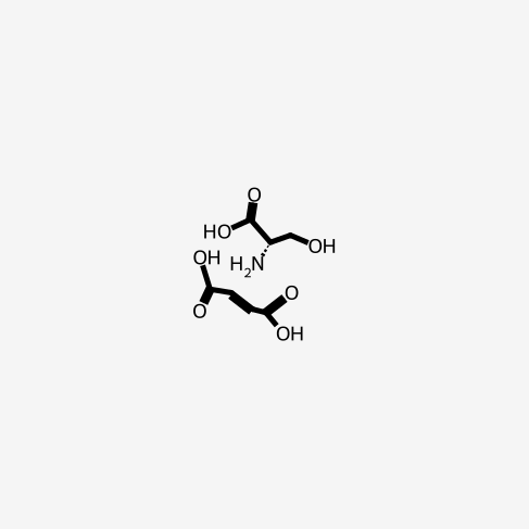 N[C@@H](CO)C(=O)O.O=C(O)/C=C/C(=O)O